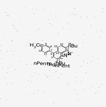 CCCCC(=C=[N+]=[N-])C=C(c1ccc(C)cc1)c1ccc(CCCC)cc1.CCCC[CH2][Pd][CH2]CCCC